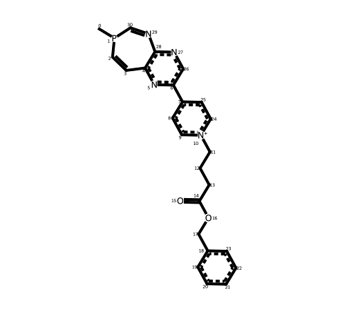 CP1C=Cc2nc(-c3cc[n+](CCCC(=O)OCc4ccccc4)cc3)cnc2N=C1